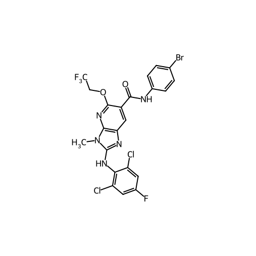 Cn1c(Nc2c(Cl)cc(F)cc2Cl)nc2cc(C(=O)Nc3ccc(Br)cc3)c(OCC(F)(F)F)nc21